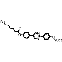 CCCCCCCCOc1ccc(-c2ncc(-c3ccc(OC(=O)CCCCCC(C)CC)cc3)cn2)cc1